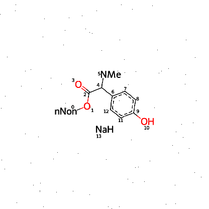 CCCCCCCCCOC(=O)C(NC)c1ccc(O)cc1.[NaH]